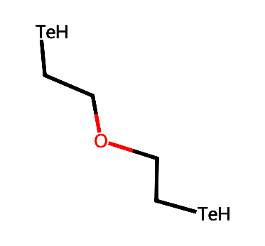 [TeH]CCOCC[TeH]